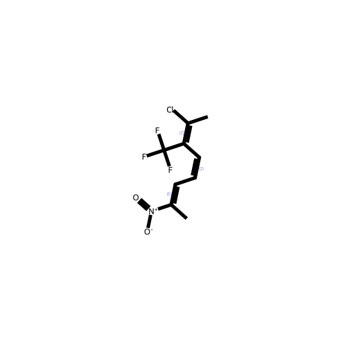 C\C(Cl)=C(/C=C\C=C(/C)[N+](=O)[O-])C(F)(F)F